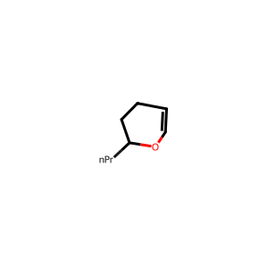 CCCC1CCC=CO1